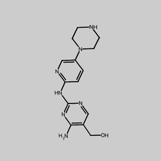 Nc1nc(Nc2ccc(N3CCNCC3)cn2)ncc1CO